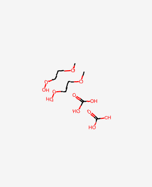 COCCOO.COCCOO.O=C(O)O.O=C(O)O